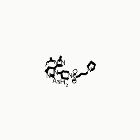 Cc1ncc(C2C(F)=CN=C([AsH2])N2C2CCN(S(=O)(=O)CCCN3CCCC3)CC2)n1C(C)C